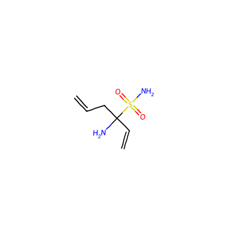 C=CCC(N)(C=C)S(N)(=O)=O